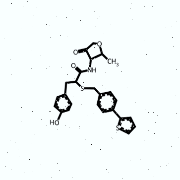 CC1OCC(=O)C1NC(=O)C(Cc1ccc(O)cc1)SCc1ccc(-c2cccs2)cc1